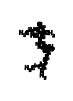 CCCCC(CC)COCCCS(=O)(=O)Nc1cccc(N=Nc2c(C)cc(=O)n(CCCC)c2O)c1